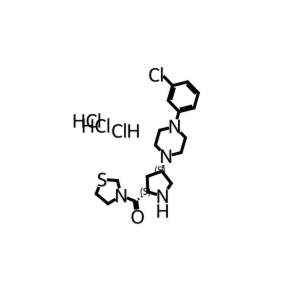 Cl.Cl.Cl.O=C([C@@H]1C[C@H](N2CCN(c3cccc(Cl)c3)CC2)CN1)N1CCSC1